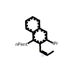 C/C=C\c1c(C(C)C)cc2ccccc2c1CCCCC